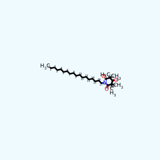 CCCCCCCCCCCCCCCCCCN1C(=O)C(C)(C)C(=O)C(C)(C)C1=O